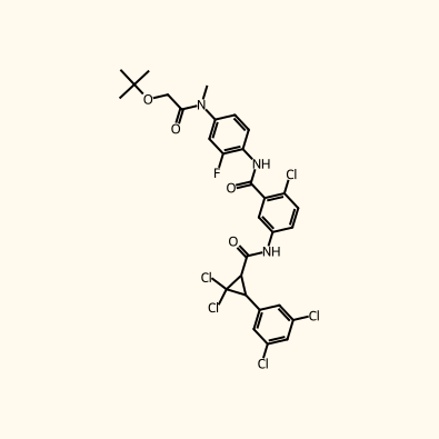 CN(C(=O)COC(C)(C)C)c1ccc(NC(=O)c2cc(NC(=O)C3C(c4cc(Cl)cc(Cl)c4)C3(Cl)Cl)ccc2Cl)c(F)c1